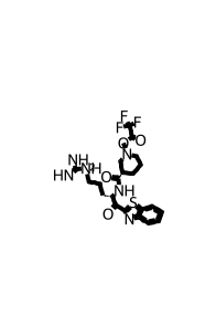 N=C(N)NCCC[C@H](NC(=O)[C@H]1CCCN(OC(=O)C(F)(F)F)C1)C(=O)c1nc2ccccc2s1